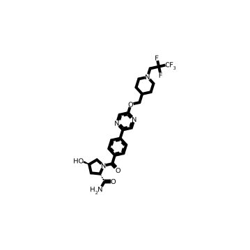 NC(=O)[C@@H]1C[C@@H](O)CN1C(=O)c1ccc(-c2cnc(OCC3CCN(CC(F)(F)C(F)(F)F)CC3)cn2)cc1